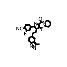 Cc1c2cc(CCC3C(c4ccc(C#N)c(F)c4)=NC(C(=O)N4CCCCC4)=C3F)ccc2nn1C